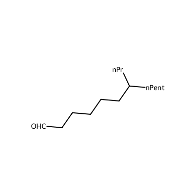 CCCCCC(CCC)CCCCCC=O